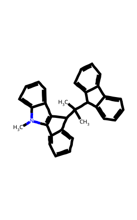 Cn1c2c(c3ccccc31)C(C(C)(C)C1c3ccccc3-c3ccccc31)c1ccccc1-2